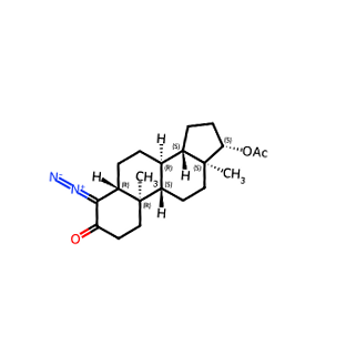 CC(=O)O[C@H]1CC[C@H]2[C@@H]3CC[C@H]4C(=[N+]=[N-])C(=O)CC[C@]4(C)[C@H]3CC[C@]12C